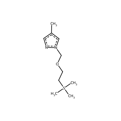 Cc1cnn(COCCS(C)(C)C)c1